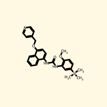 COc1ccc([Si](C)(C)C)cc1NC(=O)Nc1ccc(OCc2ccncc2)c2ccccc12